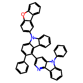 c1ccc(-c2ccc3c(c2-c2cnc4c5ccccc5n(-c5ccccc5)c4c2)c2ccccc2n3-c2ccc3oc4ccccc4c3c2)cc1